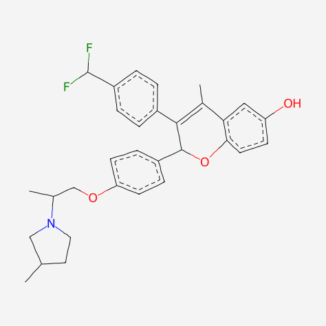 CC1=C(c2ccc(C(F)F)cc2)C(c2ccc(OCC(C)N3CCC(C)C3)cc2)Oc2ccc(O)cc21